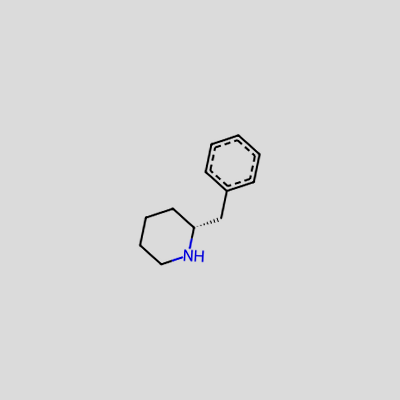 c1ccc(C[C@H]2CCCCN2)cc1